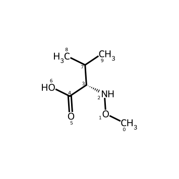 CON[C@H](C(=O)O)C(C)C